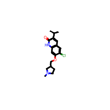 CC(C)c1cc2cc(Cl)c(OCC3CCN(C)C3)cc2[nH]c1=O